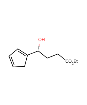 CCOC(=O)CC[C@@H](O)C1=CC=CC1